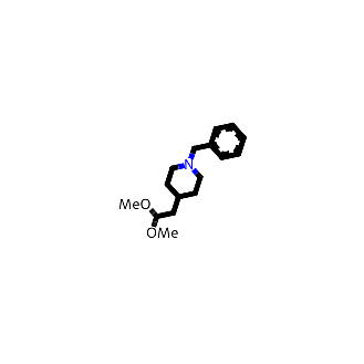 COC(CC1CCN(Cc2ccccc2)CC1)OC